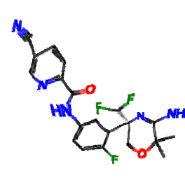 CC1(C)OC[C@@](C(F)F)(C2CC(NC(=O)c3ccc(C#N)cn3)=CC=C2F)N=C1N